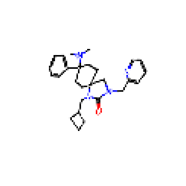 CN(C)C1(c2ccccc2)CCC2(CC1)CN(Cc1ccccn1)C(=O)N2CC1CCC1